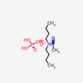 CC#N.CCCCNCCCC.O.O=P(O)(O)O